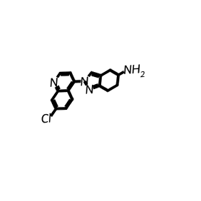 NC1CCc2nn(-c3ccnc4cc(Cl)ccc34)cc2C1